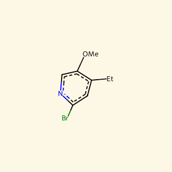 CCc1cc(Br)ncc1OC